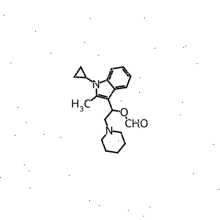 Cc1c(C(CN2CCCCC2)OC=O)c2ccccc2n1C1CC1